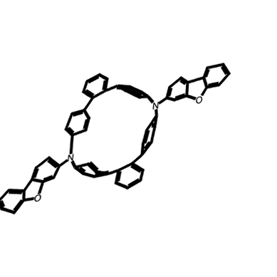 c1ccc2c(c1)-c1ccc(cc1)N(c1ccc3c(c1)oc1ccccc13)c1ccc(cc1)-c1ccccc1-c1ccc(cc1)N(c1ccc3c(c1)oc1ccccc13)c1ccc-2cc1